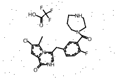 Cc1c(Cl)cc2c(=O)[nH]cc(Cc3ccc(F)c(C(=O)N4CCCNCC4)c3)n12.O=C(O)C(F)(F)F